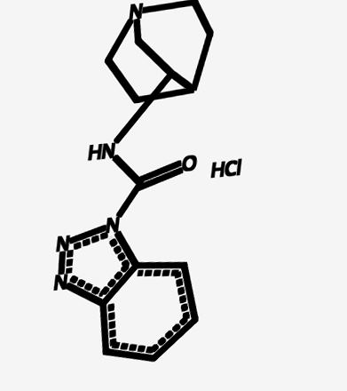 Cl.O=C(NC1CN2CCC1CC2)n1nnc2ccccc21